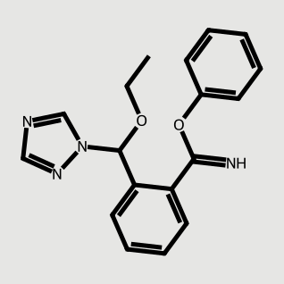 CCOC(c1ccccc1C(=N)Oc1ccccc1)n1cncn1